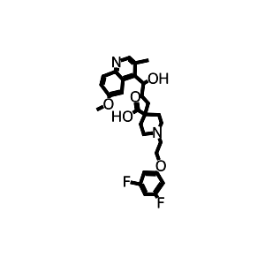 COc1ccc2ncc(C)c(C(O)CCC3(C(=O)O)CCN(CCOc4cc(F)cc(F)c4)CC3)c2c1